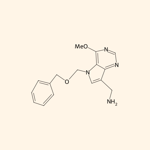 COc1ncnc2c(CN)cn(COCc3ccccc3)c12